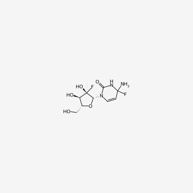 NC1(F)C=CN([C@@H]2O[C@H](CO)[C@@H](O)[C@]2(O)F)C(=O)N1